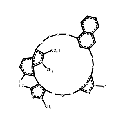 Cc1nn(C)c2c1-c1c(F)ccc3c(c(C(=O)O)n(C)c13)CCCOc1cc(cc3ccccc13)SCc1cc(nn1C(C)C)CSC2